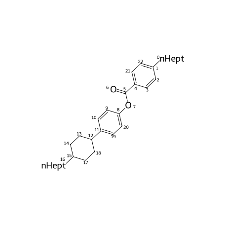 CCCCCCCc1ccc(C(=O)Oc2ccc(C3CCC(CCCCCCC)CC3)cc2)cc1